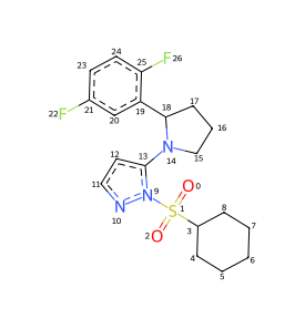 O=S(=O)(C1CCCCC1)n1nccc1N1CCCC1c1cc(F)ccc1F